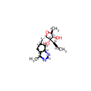 C=C1O[C@@H](Cc2ccc3c(C)ncnc3c2)[C@@](O)(C#CC)[C@@H]1O